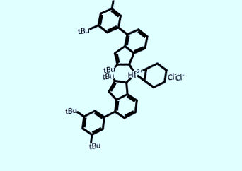 CC(C)(C)C1=Cc2c(-c3cc(C(C)(C)C)cc(C(C)(C)C)c3)cccc2[CH]1[Hf+2]1([CH]2C(C(C)(C)C)=Cc3c(-c4cc(C(C)(C)C)cc(C(C)(C)C)c4)cccc32)[CH]2CCCC[CH]21.[Cl-].[Cl-]